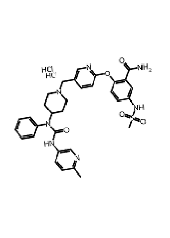 Cc1ccc(NC(=O)N(c2ccccc2)C2CCN(Cc3ccc(Oc4ccc(NS(C)(=O)=O)cc4C(N)=O)nc3)CC2)cn1.Cl.Cl